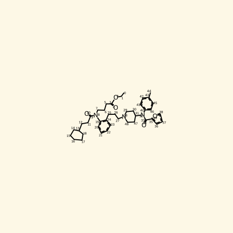 CCOC(=O)CCCN(C(=O)CCC1CCCCC1)c1ccccc1CCCN1CCC(N(C(=O)c2ccco2)c2ccc(C)cc2)CC1